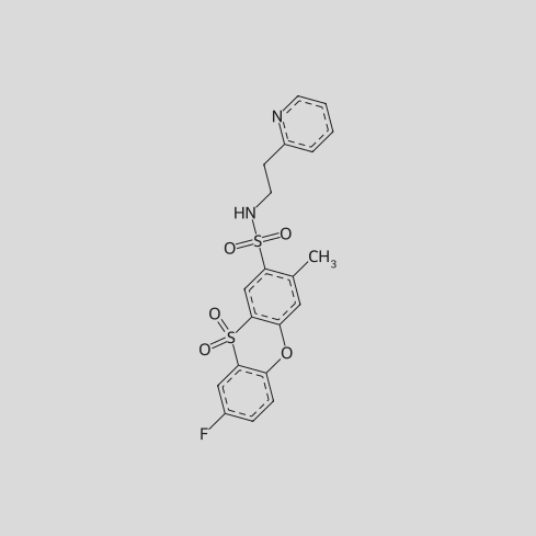 Cc1cc2c(cc1S(=O)(=O)NCCc1ccccn1)S(=O)(=O)c1cc(F)ccc1O2